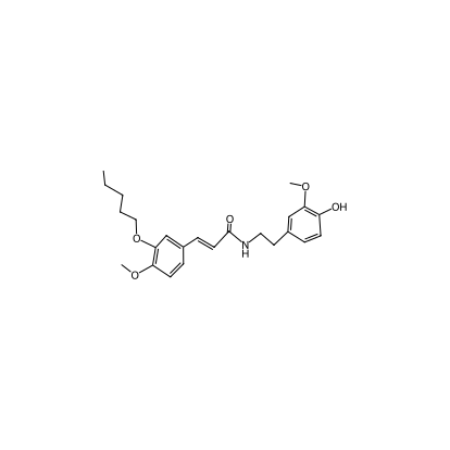 CCCCCOc1cc(C=CC(=O)NCCc2ccc(O)c(OC)c2)ccc1OC